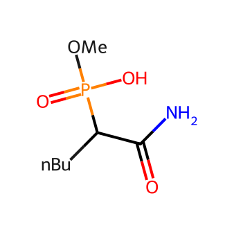 CCCCC(C(N)=O)P(=O)(O)OC